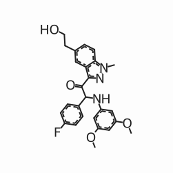 COc1cc(NC(C(=O)c2nn(C)c3ccc(CCO)cc23)c2ccc(F)cc2)cc(OC)c1